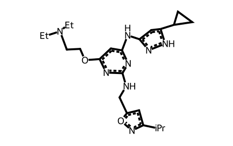 CCN(CC)CCOc1cc(Nc2cc(C3CC3)[nH]n2)nc(NCc2cc(C(C)C)no2)n1